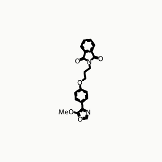 COc1ocnc1-c1ccc(OCCCN2C(=O)c3ccccc3C2=O)cc1